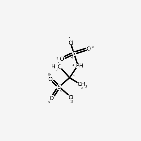 CC(C)(PS(=O)(=O)Cl)S(=O)(=O)Cl